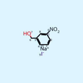 O=[N+]([O-])c1cccc(CO)c1.[I-].[Na+]